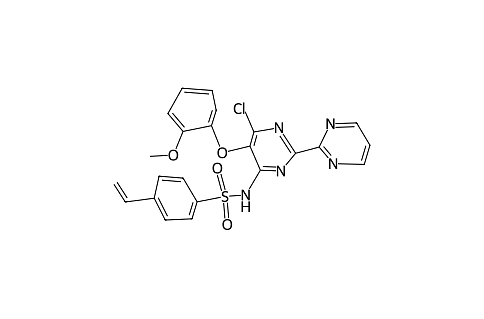 C=Cc1ccc(S(=O)(=O)Nc2nc(-c3ncccn3)nc(Cl)c2Oc2ccccc2OC)cc1